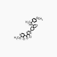 COc1ccc(C(C)N[C@@H]2COCC23CCN(c2cnc(C(=O)c4ccnc(OC)c4Cl)c(Cl)n2)CC3)cc1